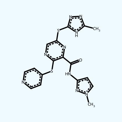 Cc1nnc(Sc2cnc(Sc3ccncc3)c(C(=O)Nc3ccn(C)n3)n2)[nH]1